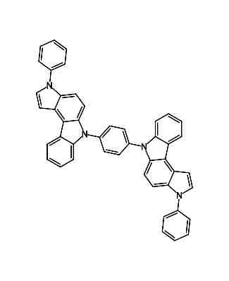 c1ccc(-n2ccc3c4c5ccccc5n(-c5ccc(-n6c7ccccc7c7c8ccn(-c9ccccc9)c8ccc76)cc5)c4ccc32)cc1